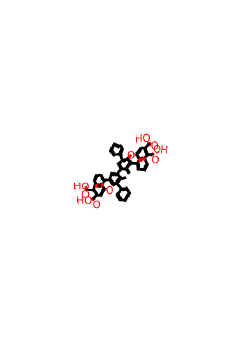 Cc1c(-c2cc(-c3ccccc3)c(Oc3ccc(C(=O)O)c(C(=O)O)c3)c(-c3ccccc3)c2C)cc(-c2ccccc2)c(Oc2ccc(C(=O)O)c(C(=O)O)c2)c1-c1ccccc1